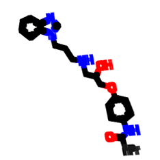 CCCC(=O)Nc1ccc(OCC(O)CNCCCn2cnc3ccccc32)cc1